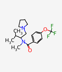 CC(C)C(CN1CCCC1)N(C)C(=O)c1ccc(OC(F)(F)F)cc1